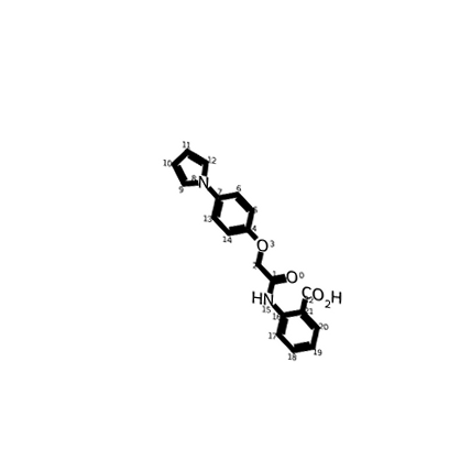 O=C(COc1ccc(-n2cccc2)cc1)Nc1ccccc1C(=O)O